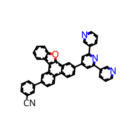 N#Cc1cccc(-c2ccc3c4ccc(-c5cc(-c6cccnc6)nc(-c6cccnc6)c5)cc4c4oc5ccccc5c4c3c2)c1